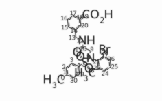 Cc1ccc(S(=O)(=O)N(CC(=O)NCc2cccc(C(=O)O)c2)c2c(C)cccc2Br)cc1